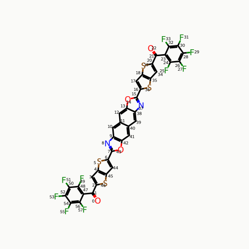 O=C(c1cc2sc(-c3nc4cc5cc6oc(-c7cc8sc(C(=O)c9c(F)c(F)c(F)c(F)c9F)cc8s7)nc6cc5cc4o3)cc2s1)c1c(F)c(F)c(F)c(F)c1F